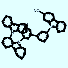 N#Cc1cc(-c2cccc(-n3c4ccccc4c4ccc(C#N)cc43)c2)cc(-n2c3ccccc3c3cccc(-n4c5ccccc5c5ccccc54)c32)c1